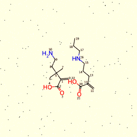 C=C(C(=O)O)C(C)(C)CCN.C=C(CCCNCCC)C(=O)O